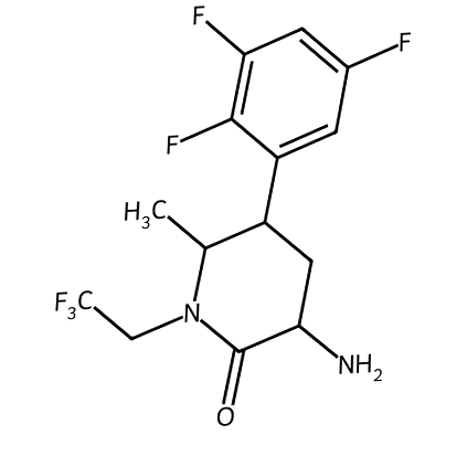 CC1C(c2cc(F)cc(F)c2F)CC(N)C(=O)N1CC(F)(F)F